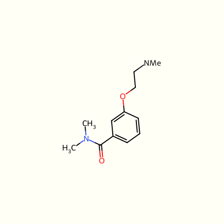 CNCCOc1cccc(C(=O)N(C)C)c1